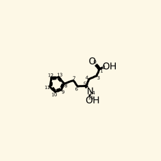 O=C(O)CC/C(CCc1ccccc1)=N/O